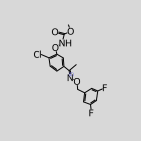 COC(=O)NOc1cc(/C(C)=N/OCc2cc(F)cc(F)c2)ccc1Cl